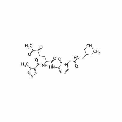 CCC(CC)CNC(=O)Cn1cccc(NC(=O)C(CCC(=O)C(C)=O)NC(=O)c2cncn2C)c1=O